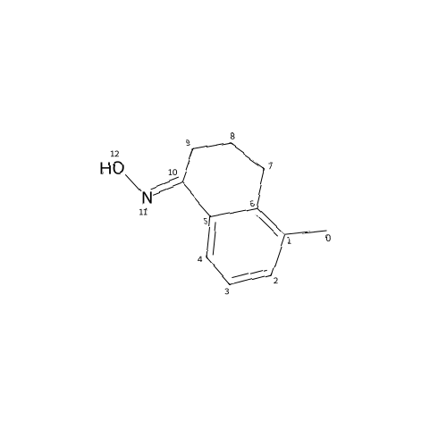 Cc1cccc2c1CCC/C2=N\O